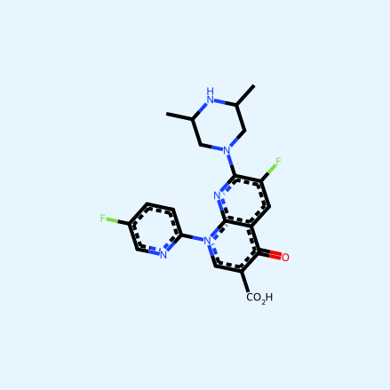 CC1CN(c2nc3c(cc2F)c(=O)c(C(=O)O)cn3-c2ccc(F)cn2)CC(C)N1